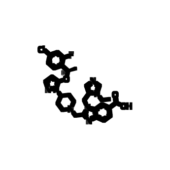 CCn1cncc1Cn1c(CN2CCC(n3nccc3O[C@H](C)c3ccc(Cl)cc3F)CC2)nc2ccc(C(=O)O)cc21